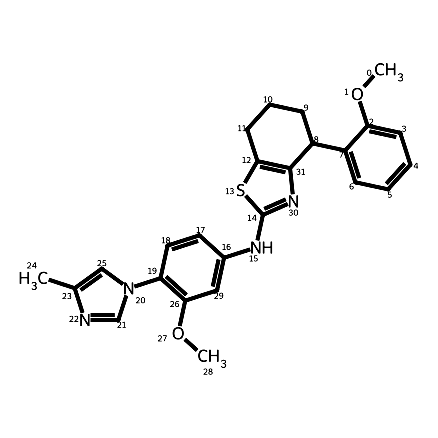 COc1ccccc1C1CCCc2sc(Nc3ccc(-n4cnc(C)c4)c(OC)c3)nc21